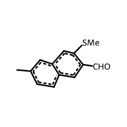 CSc1cc2cc(C)ccc2cc1C=O